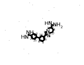 N=C(N)c1ccc(-c2cccc(-c3cn4c(n3)CCC(C(=N)N)C4)c2)cc1